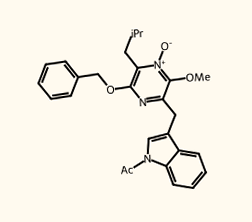 COc1c(Cc2cn(C(C)=O)c3ccccc23)nc(OCc2ccccc2)c(CC(C)C)[n+]1[O-]